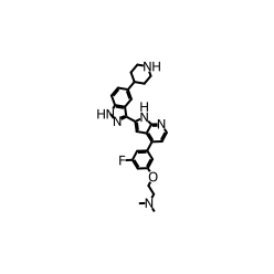 CN(C)CCOc1cc(F)cc(-c2ccnc3[nH]c(-c4n[nH]c5ccc(C6CCNCC6)cc45)cc23)c1